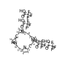 C1=Cc2cc3ccc(cc4nc(cc5ccc(cc1n2)[nH]5)C=C4)[nH]3.O=C(O)C(F)(F)F.O=C(O)C(F)(F)F.O=C(O)C(F)(F)F.O=C(O)C(F)(F)F